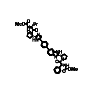 COC(=O)N[C@H](C(=O)N1CCC[C@H]1c1ncc(-c2ccc(-c3ccc4nc([C@@H]5CCCN5C(=O)[C@H](NC(=O)OC)c5ccccc5)[nH]c4c3)cc2)[nH]1)C(C)C